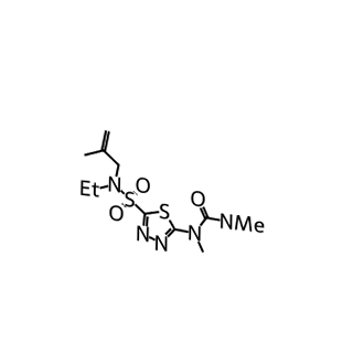 C=C(C)CN(CC)S(=O)(=O)c1nnc(N(C)C(=O)NC)s1